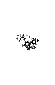 CC(C)(O)COc1cc(-c2ccc(F)nc2)c2c(C#N)cnn2c1F